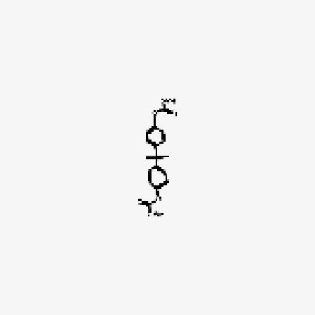 COC(=O)Oc1ccc(C(C)(C)c2ccc(OC(=O)SC)cc2)cc1